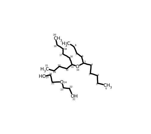 CCCCCC(CCCC)OC(CCCC)CCCCC.OCCOCCO